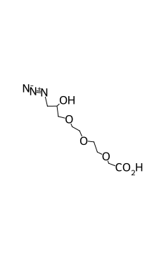 [N-]=[N+]=NCC(O)COCCOCCOCC(=O)O